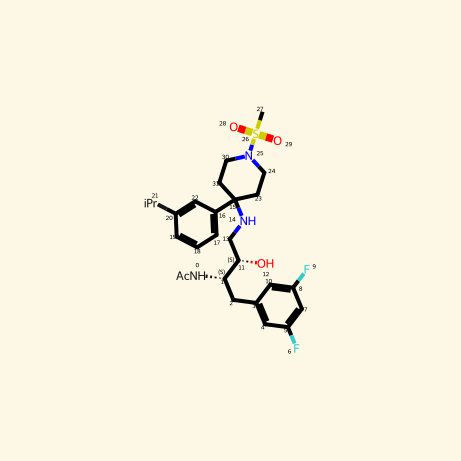 CC(=O)N[C@@H](Cc1cc(F)cc(F)c1)[C@@H](O)CNC1(c2cccc(C(C)C)c2)CCN(S(C)(=O)=O)CC1